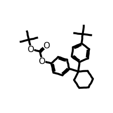 CC(C)(C)OC(=O)Oc1ccc(C2(c3ccc(C(C)(C)C)cc3)CCCCC2)cc1